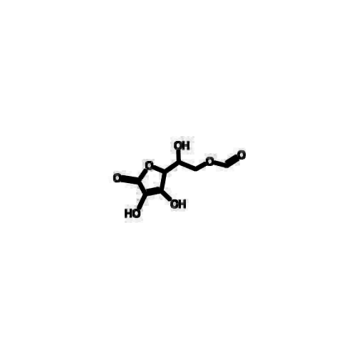 O=COCC(O)C1OC(=O)C(O)=C1O